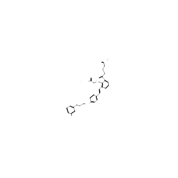 O=C(O)CCCc1cn(CC(=O)O)c2c(C=Cc3ccc(OCCCc4cccc(F)c4)cc3)cccc12